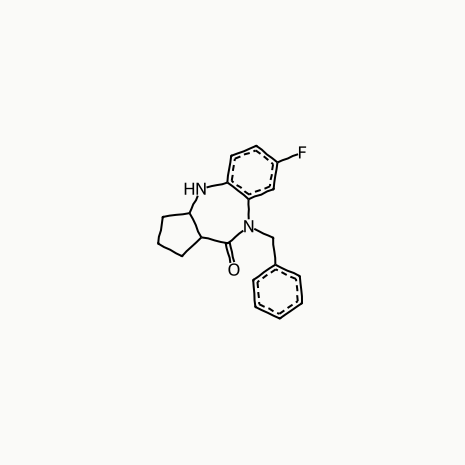 O=C1C2CCCC2Nc2ccc(F)cc2N1Cc1ccccc1